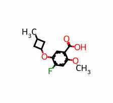 COc1cc(F)c(OC2CC(C)C2)cc1C(=O)O